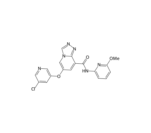 COc1cccc(NC(=O)c2cc(Oc3cncc(Cl)c3)cn3cnnc23)n1